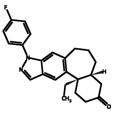 CC[C@@]12CCC(=O)C[C@@H]1CCCc1cc3c(cnn3-c3ccc(F)cc3)cc12